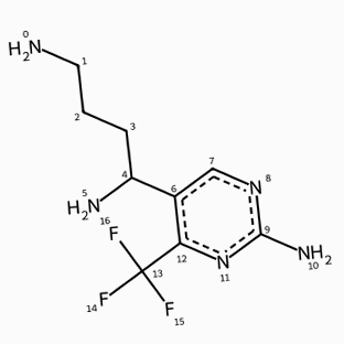 NCCCC(N)c1cnc(N)nc1C(F)(F)F